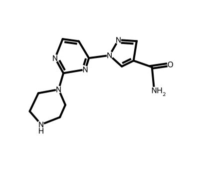 NC(=O)c1cnn(-c2ccnc(N3CCNCC3)n2)c1